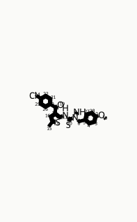 COc1ccc(CN(N)C(=S)Nc2sc(C)cc2C(=O)c2ccc(Cl)cc2)cc1